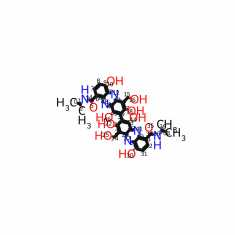 CC(C)NC(=O)c1ccc(O)c2nc3c(CO)c(O)c(-c4c(O)c(CO)c5nc6c(O)ccc(C(=O)NC(C)C)c6nc5c4O)c(O)c3nc12